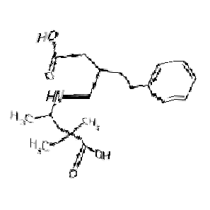 CC(NCC(CCc1ccccc1)CC(=O)O)C(C)(C)C(=O)O